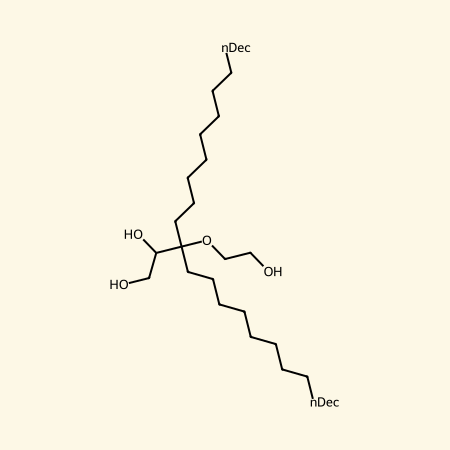 CCCCCCCCCCCCCCCCCCC(CCCCCCCCCCCCCCCCCC)(OCCO)C(O)CO